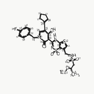 CCOC(C)CS(=O)(=O)NCc1csc2c1S(=O)(=O)N=C(C1=C(O)C(C3CCCC3)CN(Cc3ccc(F)cc3)C1=O)N2